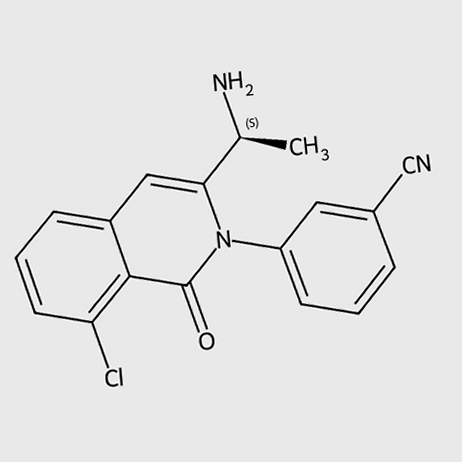 C[C@H](N)c1cc2cccc(Cl)c2c(=O)n1-c1cccc(C#N)c1